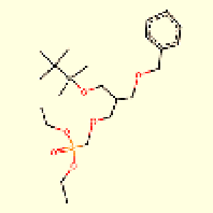 CCOP(=O)(COCC(COCc1ccccc1)CO[Si](C)(C)C(C)(C)C)OCC